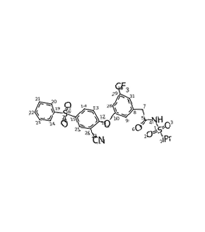 CC(C)S(=O)(=O)NC(=O)Cc1cc(Oc2ccc(S(=O)(=O)c3ccccc3)cc2C#N)cc(C(F)(F)F)c1